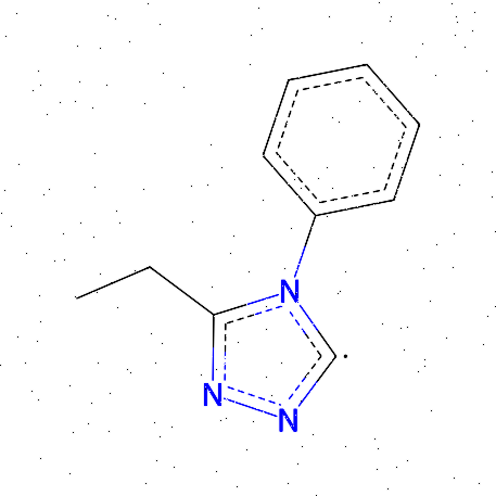 CCc1nn[c]n1-c1ccccc1